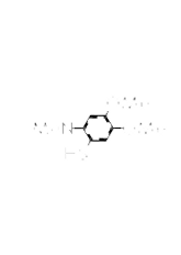 CNc1cc(OC)c(OC)cc1S